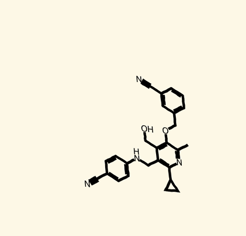 Cc1nc(C2CC2)c(CNc2ccc(C#N)cc2)c(CO)c1OCc1cccc(C#N)c1